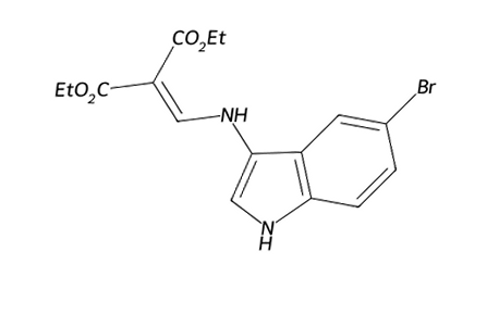 CCOC(=O)C(=CNc1c[nH]c2ccc(Br)cc12)C(=O)OCC